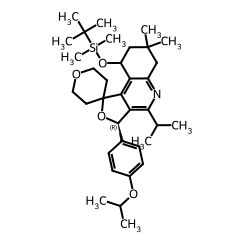 CC(C)Oc1ccc([C@H]2OC3(CCOCC3)c3c4c(nc(C(C)C)c32)CC(C)(C)CC4O[Si](C)(C)C(C)(C)C)cc1